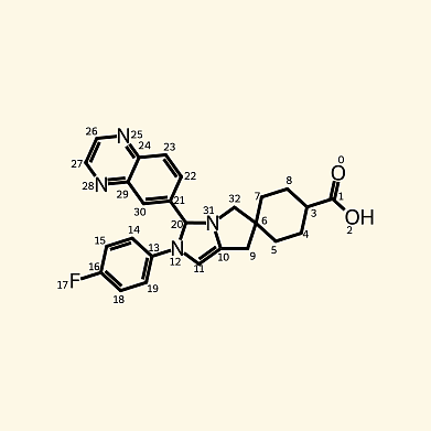 O=C(O)C1CCC2(CC1)CC1=CN(c3ccc(F)cc3)C(c3ccc4nccnc4c3)N1C2